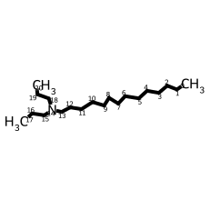 CCCCCCCCCCCCCCN(CCC)CCC